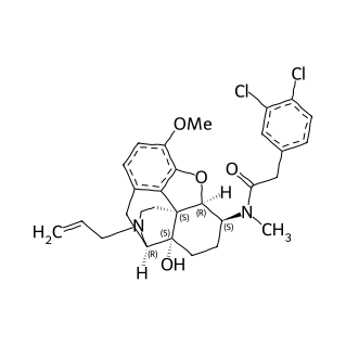 C=CCN1CC[C@]23c4c5ccc(OC)c4O[C@H]2[C@@H](N(C)C(=O)Cc2ccc(Cl)c(Cl)c2)CC[C@@]3(O)[C@H]1C5